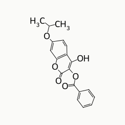 CC(C)Oc1ccc2c(O)c(OC(=O)c3ccccc3)c(=O)oc2c1